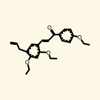 C=CCc1cc(/C=C/C(=O)c2ccc(OCC)cc2)c(OCC)cc1OCC